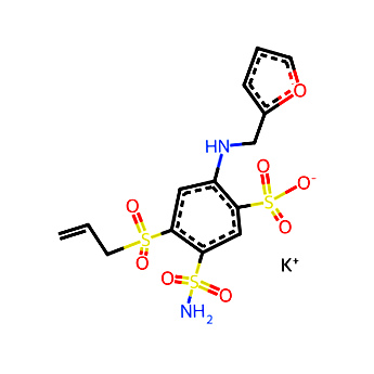 C=CCS(=O)(=O)c1cc(NCc2ccco2)c(S(=O)(=O)[O-])cc1S(N)(=O)=O.[K+]